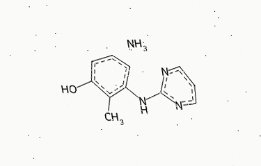 Cc1c(O)cccc1Nc1ncccn1.N